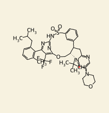 Cc1cccc(CC(C)C)c1-c1nc2nc(c1C(F)(F)F)OC[C@@H](CC(C)(C)C)C(Cc1ncc(N3CCOCC3)cn1)c1cccc(c1)S(=O)(=O)N2